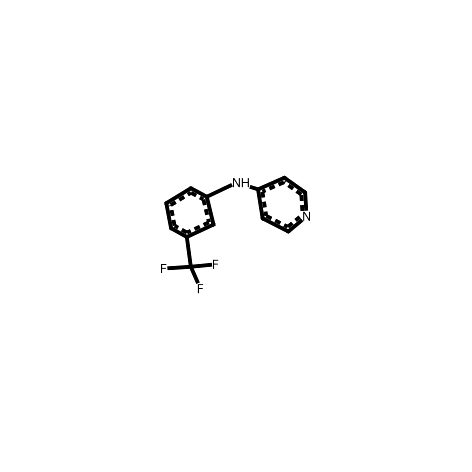 FC(F)(F)c1cccc(Nc2ccncc2)c1